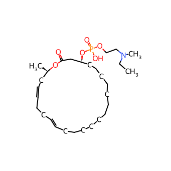 CCN(C)CCOP(=O)(O)O[C@H]1CCCCCCCCCCCC/C=C/CC/C=C/C[C@@H](C)OC(=O)C1